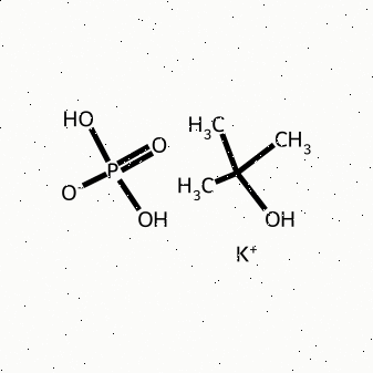 CC(C)(C)O.O=P([O-])(O)O.[K+]